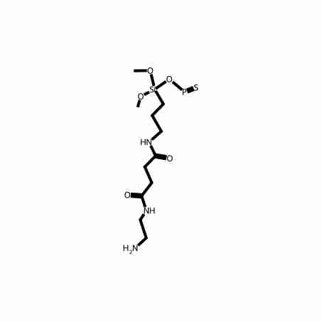 CO[Si](CCCNC(=O)CCC(=O)NCCN)(OC)OP=S